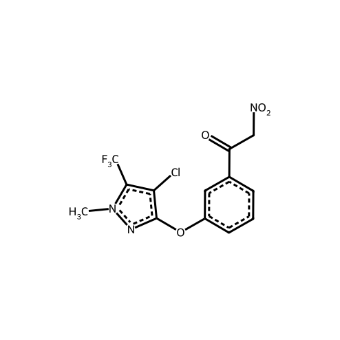 Cn1nc(Oc2cccc(C(=O)C[N+](=O)[O-])c2)c(Cl)c1C(F)(F)F